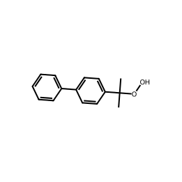 CC(C)(OO)c1ccc(-c2ccccc2)cc1